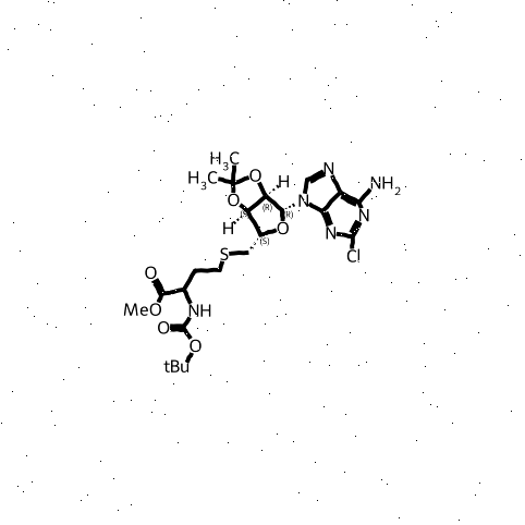 COC(=O)C(CCSC[C@H]1O[C@@H](n2cnc3c(N)nc(Cl)nc32)[C@@H]2OC(C)(C)O[C@@H]21)NC(=O)OC(C)(C)C